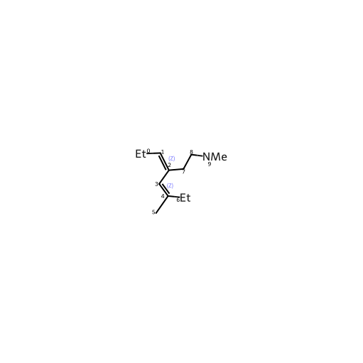 CC/C=C(\C=C(\C)CC)CCNC